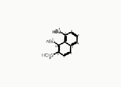 CCCCc1cccc2ccc(S(=O)(=O)O)c(CCCC)c12